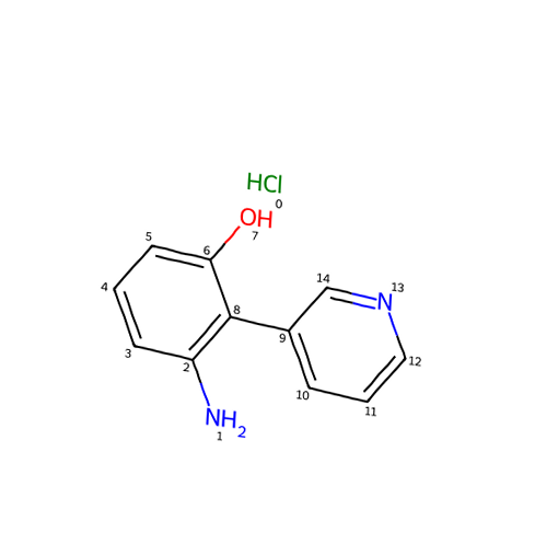 Cl.Nc1cccc(O)c1-c1cccnc1